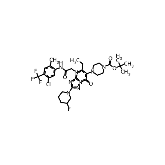 CCc1c(N2CCN(C(=O)OC(C)(C)C)CC2)c(=O)n2nc(N3CCCC(F)C3)nc2n1CC(=O)Nc1cc(Cl)c(C(F)(F)F)cc1C